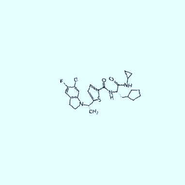 C[C@@H](c1ccc(C(=O)N[C@@H](CC2CCCC2)C(=O)NC2CC2)s1)N1CCc2cc(F)c(Cl)cc21